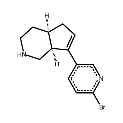 Brc1ccc(C2=CC[C@@H]3CCNC[C@H]23)cn1